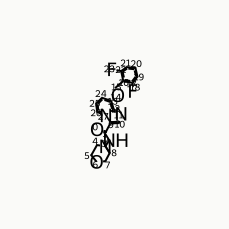 O=C(NN1CCOCC1)c1cnc2c(OCc3c(F)cccc3F)cccn12